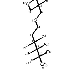 CC1(COCCC(F)(F)C(F)(F)C(F)(F)C(F)(F)F)COC1